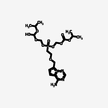 CC(C)OC(=O)OCOP(=O)(CCOCc1ccc2c(N)ncnn12)OCOC(O)OC(C)C